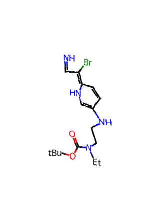 CCN(CCNC1=CN/C(=C(/Br)C=N)C=C1)C(=O)OC(C)(C)C